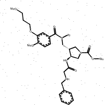 COCCCOc1cc(C(=O)N(C[C@@H]2CN(C(=O)OC(C)(C)C)C[C@H]2NC(=O)CNCc2ccccc2)C(C)C)ccc1OC